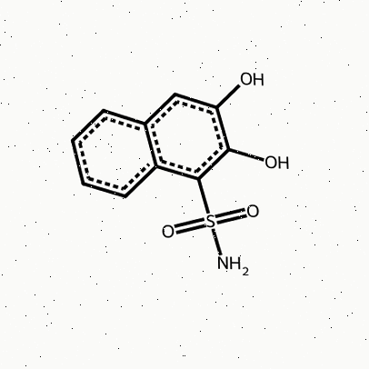 NS(=O)(=O)c1c(O)c(O)cc2ccccc12